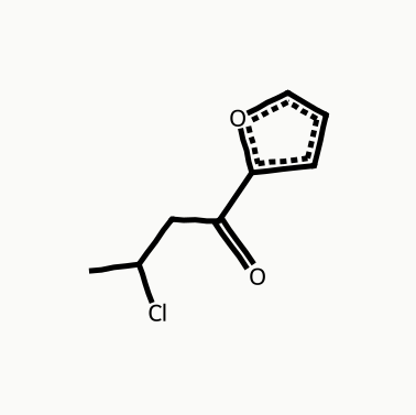 CC(Cl)CC(=O)c1ccco1